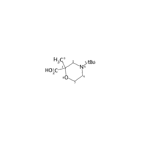 CC1(C(=O)O)CN(C(C)(C)C)CCO1